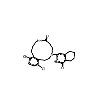 O=C1CCN(c2cc3c(c(=O)[nH]2)CCCC3)CCc2c(Cl)ccc(Cl)c2CCCN1